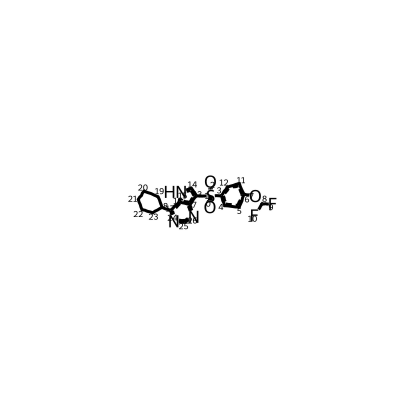 O=S(=O)(c1ccc(OC(F)F)cc1)c1c[nH]c2c(C3CCCCC3)ncnc12